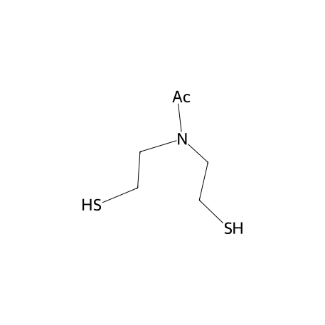 CC(=O)N(CCS)CCS